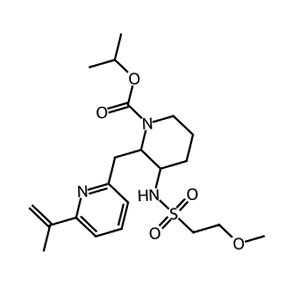 C=C(C)c1cccc(CC2C(NS(=O)(=O)CCOC)CCCN2C(=O)OC(C)C)n1